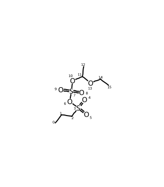 CCCS(=O)(=O)OS(=O)(=O)OC(C)OCC